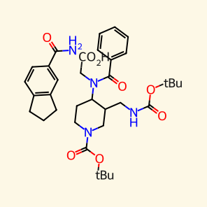 CC(C)(C)OC(=O)NCC1CN(C(=O)OC(C)(C)C)CCC1N(CC(=O)O)C(=O)c1ccccc1.NC(=O)c1ccc2c(c1)CCC2